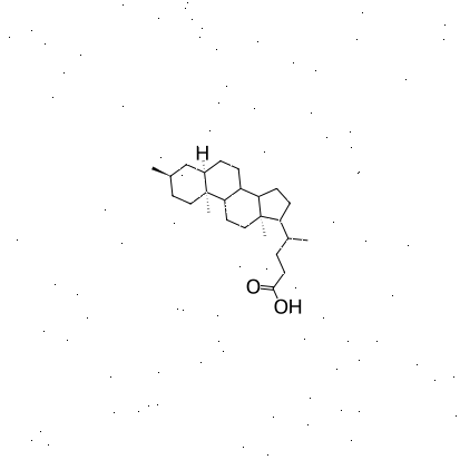 CC(CCC(=O)O)C1CCC2C3CC[C@@H]4C[C@H](C)CC[C@]4(C)C3CC[C@]12C